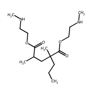 CCCC(C)(CC(C)C(=O)OCCNC)C(=O)OCCNC